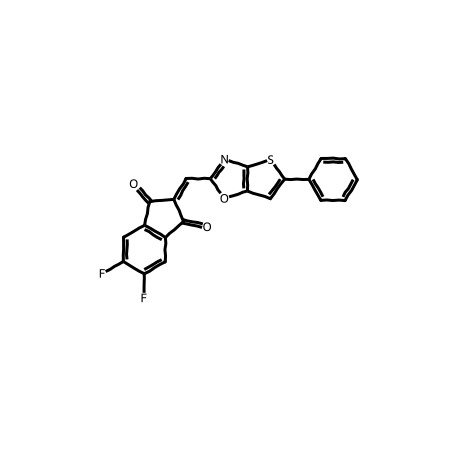 O=C1C(=Cc2nc3sc(-c4ccccc4)cc3o2)C(=O)c2cc(F)c(F)cc21